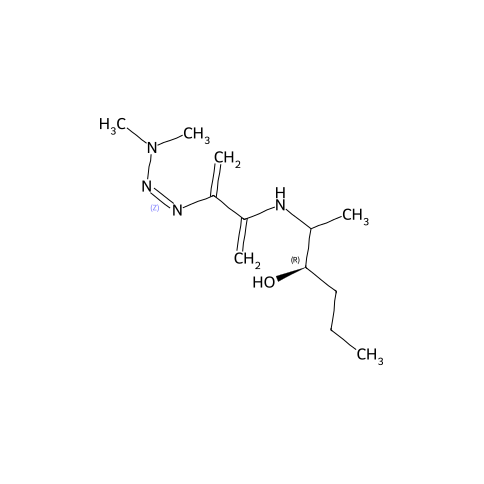 C=C(/N=N\N(C)C)C(=C)NC(C)[C@H](O)CCC